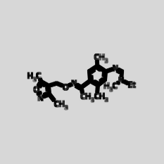 CCN(C)/C=N\c1cc(C)c(/C(C)=N/OCc2c(C)noc2C)cc1C